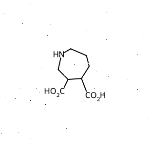 O=C(O)C1CCCNCC1C(=O)O